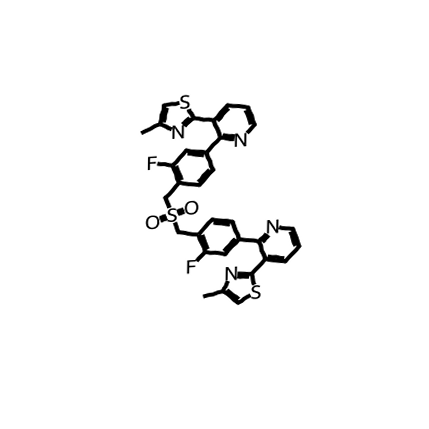 Cc1csc(-c2cccnc2-c2ccc(CS(=O)(=O)Cc3ccc(-c4ncccc4-c4nc(C)cs4)cc3F)c(F)c2)n1